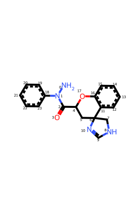 NN(C(=O)C1CC2(CNC=N2)c2ccccc2O1)c1ccccc1